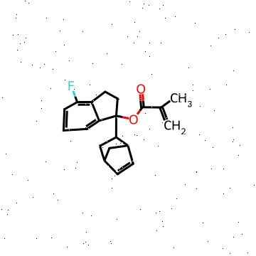 C=C(C)C(=O)OC1(C2CC3C=CC2C3)CCc2c(F)cccc21